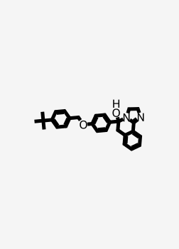 CC(C)(C)c1ccc(COc2ccc(C3(O)Cc4ccccc4C4=NCCN43)cc2)cc1